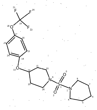 O=S(=O)(N1CCCCC1)N1CCC(Oc2ccc(OC(F)(F)F)cc2)CC1